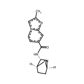 Cc1cn2ccc(C(=O)N[C@@H]3C[C@H]4CC[C@@H]3N4)cc2n1